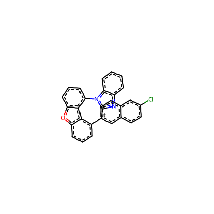 CCc1nc2ccccc2n1-c1cccc2oc3cccc(-c4ccc5cc(Cl)ccc5c4)c3c12